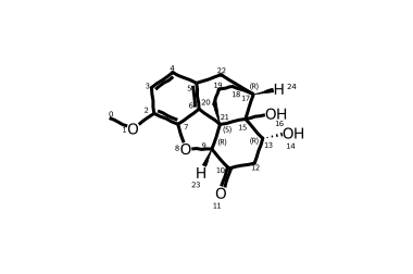 COc1ccc2c3c1O[C@H]1C(=O)C[C@@H](O)C4(O)[C@H](CCC[C@]314)C2